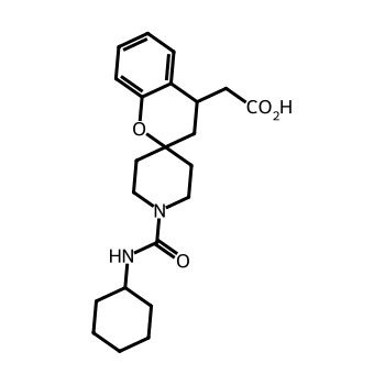 O=C(O)CC1CC2(CCN(C(=O)NC3CCCCC3)CC2)Oc2ccccc21